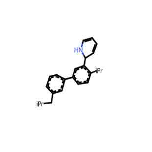 CC(C)Cc1cccc(-c2ccc(C(C)C)c(C3C=CC=CN3)c2)c1